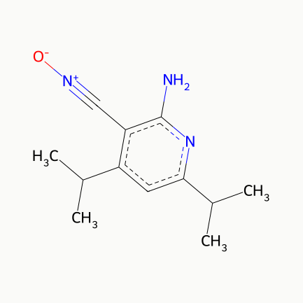 CC(C)c1cc(C(C)C)c(C#[N+][O-])c(N)n1